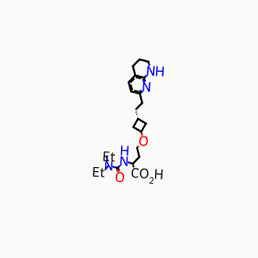 CCN(CC)C(=O)N[C@@H](CCO[C@H]1C[C@H](CCc2ccc3c(n2)NCCC3)C1)C(=O)O